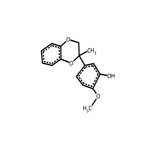 COc1ccc(C2(C)COc3ccccc3O2)cc1O